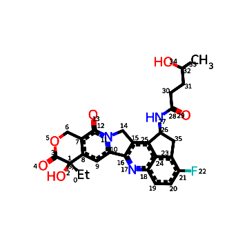 CC[C@@]1(O)C(=O)OCc2c1cc1n(c2=O)Cc2c-1nc1ccc(F)c3c1c2C(NC(=O)CCC(C)O)C3